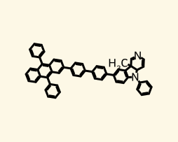 CC12C=NC=CC1N(c1ccccc1)c1ccc(-c3ccc(-c4ccc(-c5ccc6c(-c7ccccc7)c7ccccc7c(-c7ccccc7)c6c5)cc4)cc3)cc12